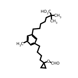 Cc1cc(CCCCCC(C)(C)C(=O)O)cc(CCCCC2(OC=O)CC2)c1